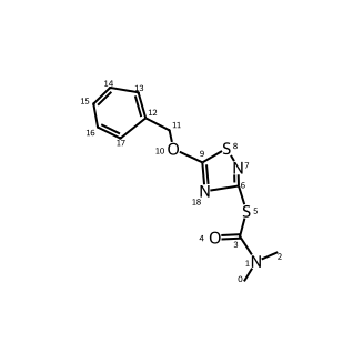 CN(C)C(=O)Sc1nsc(OCc2ccccc2)n1